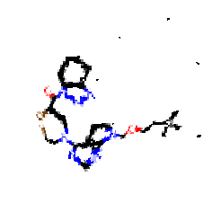 C[Si](C)(C)CCOCn1ccc2c(N3C=C(C(=O)n4nnc5ccccc54)SCC3)ncnc21